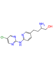 NC(CO)CCc1ccc(Nc2ncc(Cl)cn2)nc1